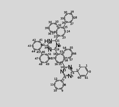 C1=CCC(c2nc(-c3ccccc3)nc(-c3ccc(C4=NC(c5ccc(-c6ccccc6)c6ccccc56)NC(c5ccccc5-c5ccccc5)=N4)c4ccccc34)n2)C=C1